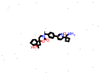 C[C@@H](c1ccc(-c2ccc(C3(C(N)=O)CCC3)nc2)cc1)N1CCC(CC(C)(C)O)(c2ccccc2)OC1=O